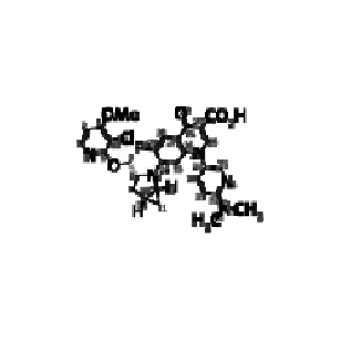 COc1ccnc(OC[C@H]2C[C@H]3C[C@H]3N2c2cc3c(cc2F)c(=O)c(C(=O)O)cn3-c2ccc(N(C)C)nc2)c1Cl